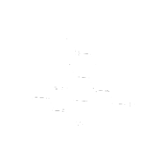 COc1cc(Br)ccc1CN(C(=O)OC(C)(C)C)C1CCN(C(C)=O)CC1